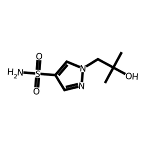 CC(C)(O)Cn1cc(S(N)(=O)=O)cn1